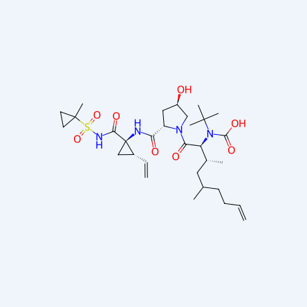 C=CCCC(C)C[C@@H](C)[C@@H](C(=O)N1C[C@H](O)C[C@H]1C(=O)N[C@]1(C(=O)NS(=O)(=O)C2(C)CC2)C[C@H]1C=C)N(C(=O)O)C(C)(C)C